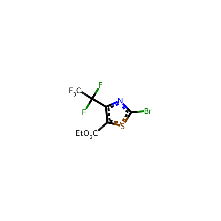 CCOC(=O)c1sc(Br)nc1C(F)(F)C(F)(F)F